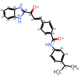 CC(C)c1ccc(NC(=O)c2ccc(C=CC(=O)c3nc4ccccc4[nH]3)cc2)cc1